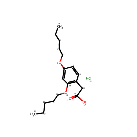 CCCCCOc1ccc(CC(=O)O)c(OCCCCC)c1.Cl